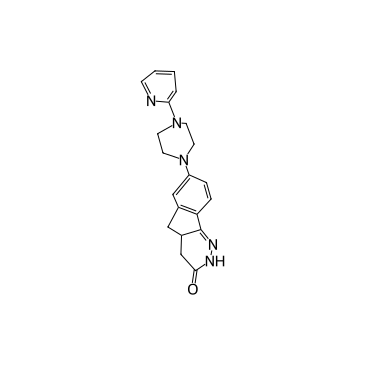 O=C1CC2Cc3cc(N4CCN(c5ccccn5)CC4)ccc3C2=NN1